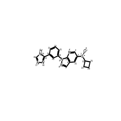 [O-][S@+](c1cnc2c(cnn2-c2cccc(-c3nnc[nH]3)c2)c1)C1CCC1